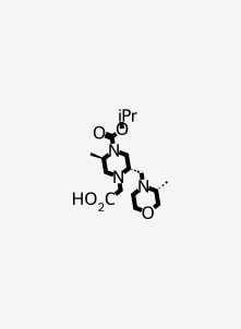 CC(C)OC(=O)N1C[C@H](CN2CCOC[C@H]2C)N(CC(=O)O)C[C@H]1C